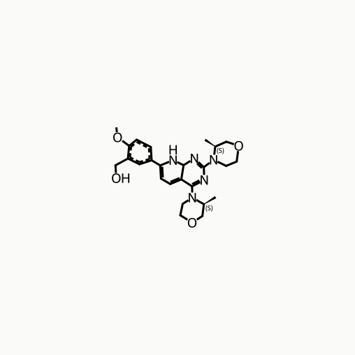 COc1ccc(C2=CC=C3C(N4CCOC[C@@H]4C)=NC(N4CCOC[C@@H]4C)=NC3N2)cc1CO